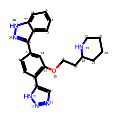 c1ccc2c(-c3ccc(-c4cnn[nH]4)c(OCCC4CCCCN4)c3)n[nH]c2c1